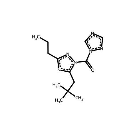 CCCc1nc(CC(C)(C)C)n(C(=O)n2cncn2)n1